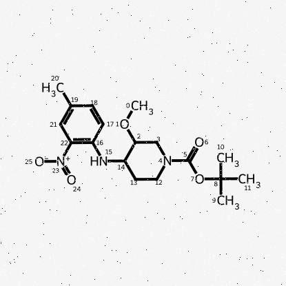 COC1CN(C(=O)OC(C)(C)C)CCC1Nc1ccc(C)cc1[N+](=O)[O-]